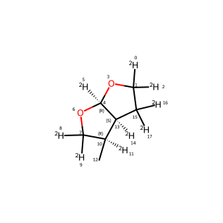 [2H]C1([2H])O[C@]2([2H])OC([2H])([2H])[C@]([2H])(C)[C@]2([2H])C1([2H])[2H]